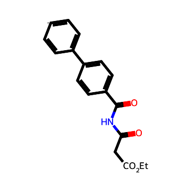 CCOC(=O)CC(=O)NC(=O)c1ccc(-c2cc[c]cc2)cc1